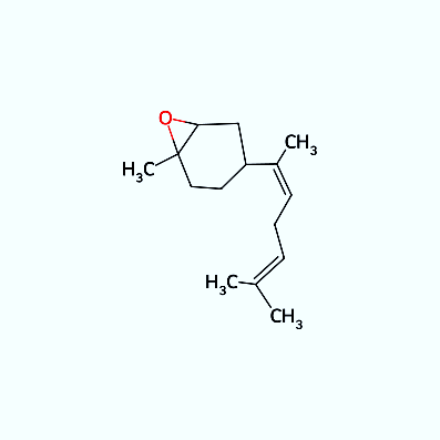 CC(C)=CC/C=C(/C)C1CCC2(C)OC2C1